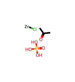 CC(C)=O.O=P(O)(O)O.[Cl][Zn]